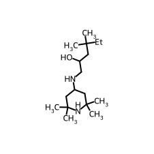 CCC(C)(C)CC(O)CNC1CC(C)(C)NC(C)(C)C1